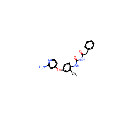 Cc1cc(Oc2ccnc(N)c2)ccc1NC(=O)NC(=O)Cc1ccccc1